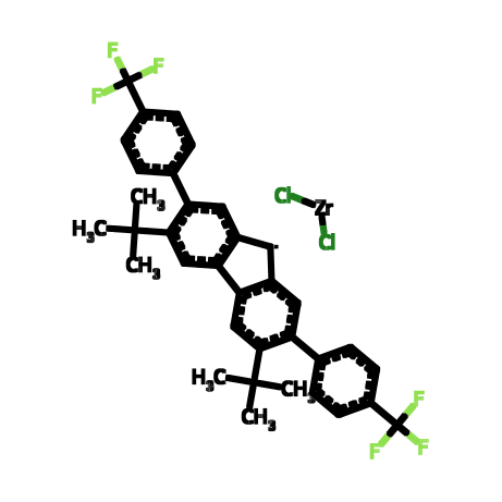 CC(C)(C)c1cc2c(cc1-c1ccc(C(F)(F)F)cc1)[CH]c1cc(-c3ccc(C(F)(F)F)cc3)c(C(C)(C)C)cc1-2.[Cl][Zr][Cl]